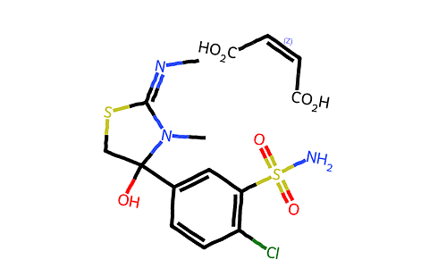 CN=C1SCC(O)(c2ccc(Cl)c(S(N)(=O)=O)c2)N1C.O=C(O)/C=C\C(=O)O